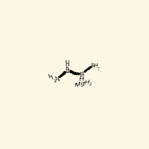 BBBN.[MgH2]